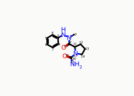 CN(Nc1ccccc1)C(=O)C1CCCN1C(N)=O